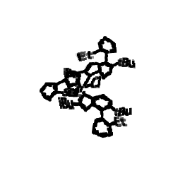 CCc1ccccc1-c1c(C(C)(C)C)ccc2c1C=C(C(C)CC)[CH]2[Zr]([Cl])([Cl])([c]1cccc2c1[SiH2]c1ccccc1-2)[CH]1C(C(C)CC)=Cc2c1ccc(C(C)(C)C)c2-c1ccccc1CC